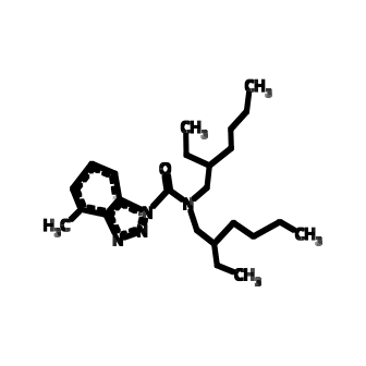 CCCCC(CC)CN(CC(CC)CCCC)C(=O)n1nnc2c(C)cccc21